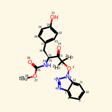 [2H]C([2H])(On1nnc2ccccc21)C(=O)[C@H](Cc1ccc(O)cc1)NC(=O)OC(C)(C)C